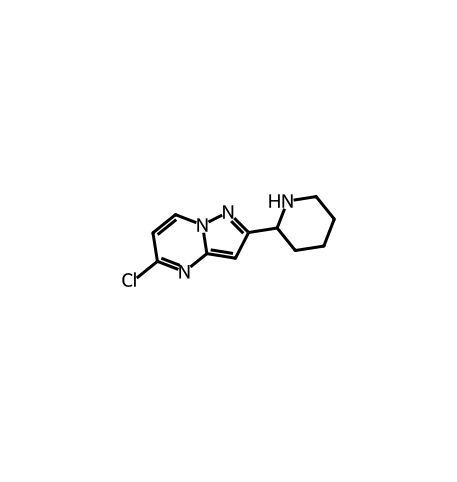 Clc1ccn2nc(C3CCCCN3)cc2n1